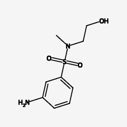 CN(CCO)S(=O)(=O)c1cccc(N)c1